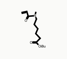 C=CC(=O)N(C)CCCCCC(=O)OCC(C)C